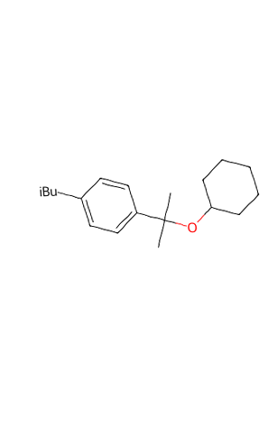 CCC(C)c1ccc(C(C)(C)OC2CCCCC2)cc1